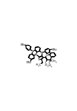 C=Cc1sc2c(c1C1=C(C)C(C)(C)c3ccccc3O1)N(c1ccc(C(C)(C)C)cc1)c1cccc3c1B2c1cc(C(C)(C)C)ccc1N3C1=CCC(C(C)(C)C)C=C1